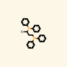 CCC(CCP(c1ccccc1)c1ccccc1)P(c1ccccc1)c1ccccc1